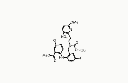 COC(=O)c1cc(Cl)cnc1Nc1ccc(F)cc1CN(CCc1nc(OC)ccc1[N+](=O)[O-])C(=O)OC(C)(C)C